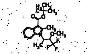 COC(C(C)n1c(C)c(C(=O)OC(C)(C)C)c2ccccc21)C(F)(F)F